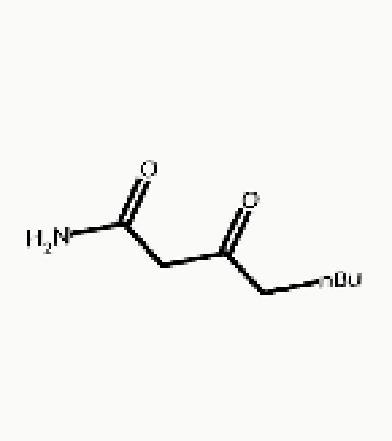 CCCCCC(=O)CC(N)=O